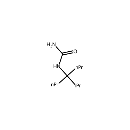 CCCC(CCC)(NC(N)=O)C(C)C